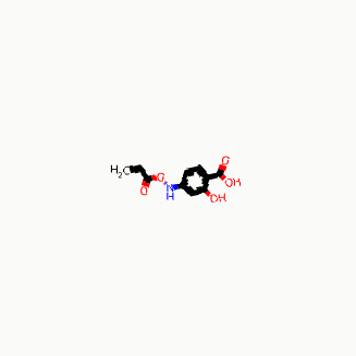 C=CC(=O)ONc1ccc(C(=O)O)c(O)c1